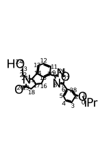 CC(C)Oc1cccc(-c2nc(-c3cccc4c3CC3CC(=O)N(CCO)C43)no2)c1